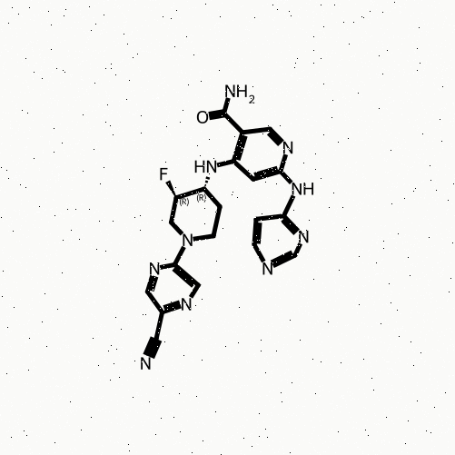 N#Cc1cnc(N2CC[C@@H](Nc3cc(Nc4ccncn4)ncc3C(N)=O)[C@H](F)C2)cn1